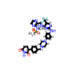 CN(c1nccnc1CNc1nc(Nc2ccc(N3CCN(Cc4ccc(C5CCC(=O)NC5=O)cc4)CC3)cc2)ncc1C(F)(F)F)S(C)(=O)=O